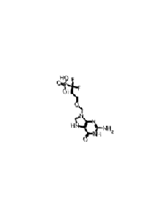 Nc1nc2c(c(=O)[nH]1)NCN2COCCC(F)(F)P(=O)(O)O